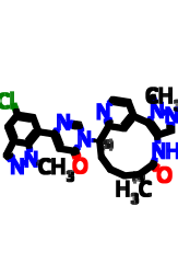 C[C@@H]1CCC[C@H](n2cnc(-c3cc(Cl)cc4cnn(C)c34)cc2=O)c2cc(ccn2)-c2c(cnn2C)NC1=O